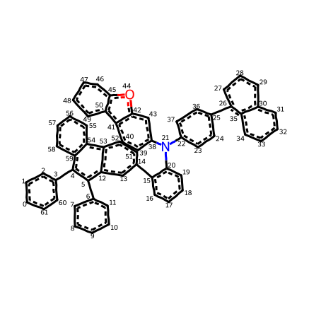 c1ccc(-c2c(-c3ccccc3)c3cc(-c4ccccc4N(c4ccc(-c5cccc6ccccc56)cc4)c4ccc5c(c4)oc4ccccc45)ccc3c3ccccc23)cc1